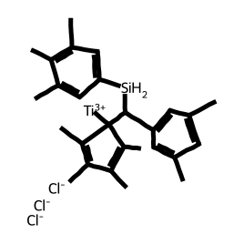 CC1=C(C)[C]([Ti+3])(C([SiH2]c2cc(C)c(C)c(C)c2)c2cc(C)cc(C)c2)C(C)=C1C.[Cl-].[Cl-].[Cl-]